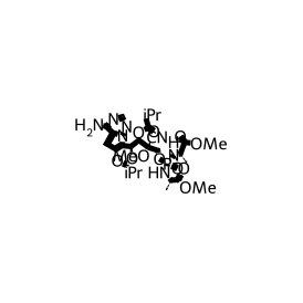 COC(=O)[C@H](C)NP(=O)(N[C@@H](C)C(=O)OC)OC[C@@](C#N)(OC)[C@@H](OC(=O)C(C)C)[C@@H](OC(=O)C(C)C)c1ccc2c(N)ncnn12